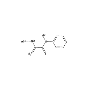 C=C(NCCCC)C(=S)N(c1ccccc1)C(C)(C)C